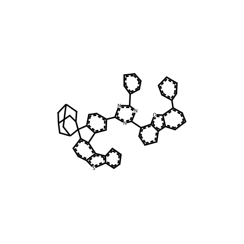 c1ccc(-c2nc(-c3ccc4c(c3)-c3c(ccc5sc6ccccc6c35)C43C4CC5CC(C4)CC3C5)nc(-c3cccc4c3oc3c(-c5ccccc5)cccc34)n2)cc1